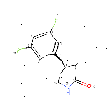 O=C1C[C@H](c2cc(F)cc(F)c2)CN1